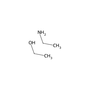 CCN.CCO